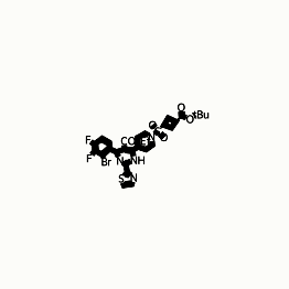 CCOC(=O)C1=C(C2CCN(S(=O)(=O)[C@H]3C[C@H](C(=O)OC(C)(C)C)C3)CC2)NC(c2nccs2)=NC1c1ccc(F)c(F)c1Br